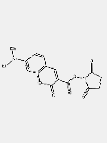 CCN(CC)c1ccc2cc(C(=O)ON3C(=O)CCC3=O)c(=O)oc2c1